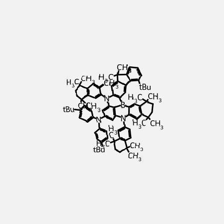 Cc1cc2c(cc1N1c3cc4c(cc3B3c5cc6c(cc5N(c5ccc7c(c5)C(C)(C)CCC7(C)C)c5cc(N(c7ccc(C(C)(C)C)cc7)c7ccc(C(C)(C)C)cc7)cc1c53)C(C)(C)CCC6(C)C)-c1c(C(C)(C)C)cccc1C4(C)C)C(C)(C)CCC2(C)C